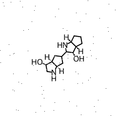 O[C@@H]1CN[C@@H]2CC(C3N[C@@H]4CCC[C@@H]4[C@H]3O)C[C@H]12